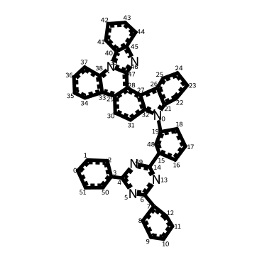 c1ccc(-c2nc(-c3ccccc3)nc(-c3cccc(-n4c5ccccc5c5c6c(ccc54)c4ccccc4n4c5ccccc5nc64)c3)n2)cc1